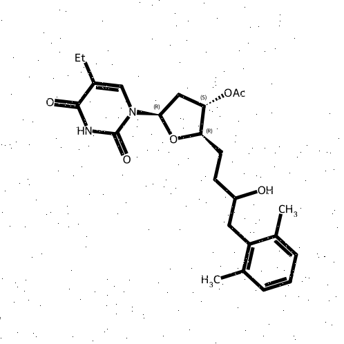 CCc1cn([C@H]2C[C@H](OC(C)=O)[C@@H](CCC(O)Cc3c(C)cccc3C)O2)c(=O)[nH]c1=O